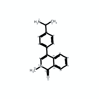 CC(N)c1ccc(-c2cn(C)c(=O)c3ccccc23)cc1